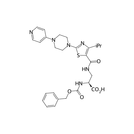 CC(C)c1nc(N2CCN(c3ccncc3)CC2)sc1C(=O)NC[C@H](NC(=O)OCc1ccccc1)C(=O)O